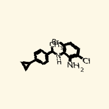 CC(Nc1c(Br)ccc(Cl)c1N)c1ccc(C2CC2)cc1